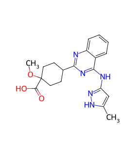 COC1(C(=O)O)CCC(c2nc(Nc3cc(C)[nH]n3)c3ccccc3n2)CC1